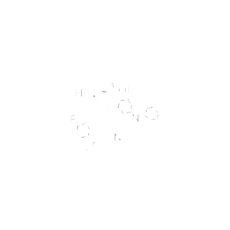 CSc1ccc2c(c1)N(CCCN1CCC(C(=O)c3ccc(F)cc3)CC1)c1ccccc1S2.O=C(O)/C=C/C(=O)O